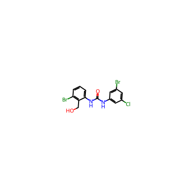 O=C(Nc1cc(Cl)cc(Br)c1)Nc1cccc(Br)c1CO